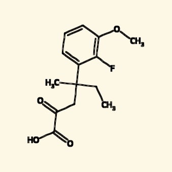 CCC(C)(CC(=O)C(=O)O)c1cccc(OC)c1F